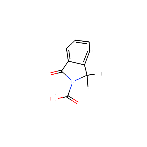 CC1(C)c2ccccc2C(=O)N1C(=O)O